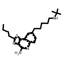 CCCCc1nc2c(N)nc3ccc(CCCCCNC(C)(C)C)cc3c2s1